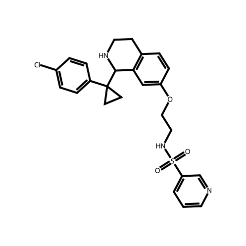 O=S(=O)(NCCOc1ccc2c(c1)C(C1(c3ccc(Cl)cc3)CC1)NCC2)c1cccnc1